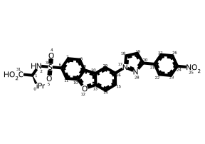 CC(C)[C@H](NS(=O)(=O)c1ccc2c(c1)oc1ccc(-n3ccc(-c4ccc([N+](=O)[O-])cc4)n3)cc12)C(=O)O